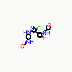 COCCN[C@H]1CC[C@H](Nc2cc(-c3ccc(F)c(NCC4(F)CCOCC4)c3)c(Cl)cn2)CC1